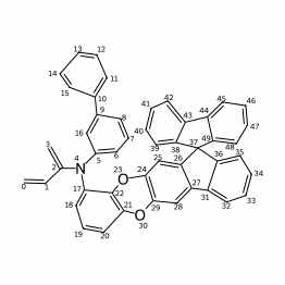 C=CC(=C)N(c1cccc(-c2ccccc2)c1)c1cccc2c1Oc1cc3c(cc1O2)-c1ccccc1C31c2ccccc2-c2ccccc21